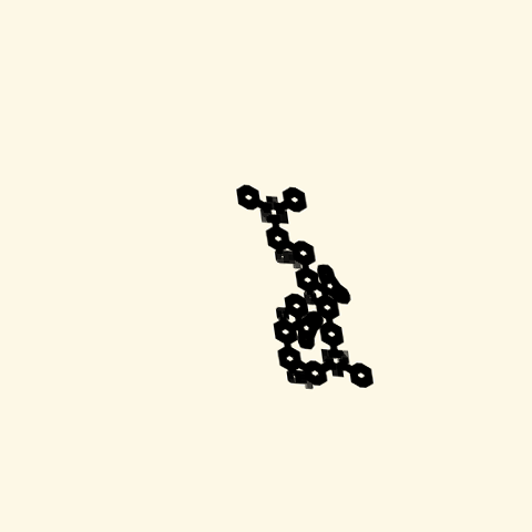 Cc1ccc(-c2ccc3c(c2)C2(c4ccccc4O3)c3ccccc3-c3ccccc32)cc1-c1cccc(-c2nc(-c3ccccc3)nc(-c3ccc(-c4ccc5c(c4)Oc4ccc(-c6cccc(-c7cc(-c8nc(-c9ccccc9)nc(-c9ccccc9)n8)ccc7C)c6)cc4C54c5ccccc5-c5ccccc54)cc3)n2)c1